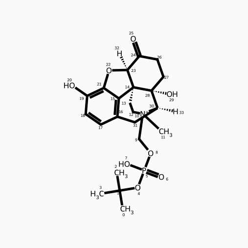 CC(C)(C)OP(=O)(O)OC[N+]1(C)CC[C@]23c4c5ccc(O)c4O[C@H]2C(=O)CC[C@@]3(O)[C@H]1C5